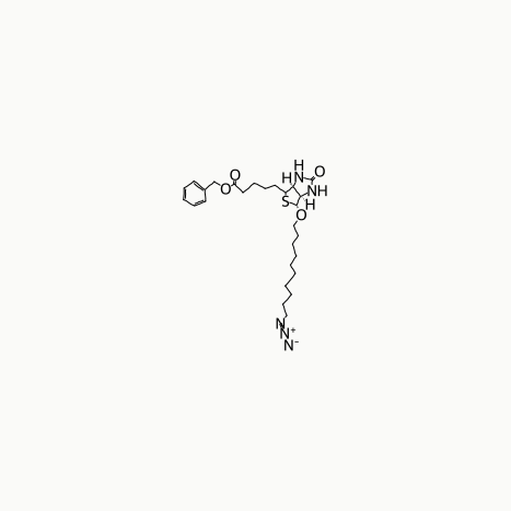 [N-]=[N+]=NCCCCCCCCCCO[C@@H]1SC(CCCCC(=O)OCc2ccccc2)[C@H]2NC(=O)N[C@@H]12